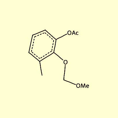 COCOc1c(C)cccc1OC(C)=O